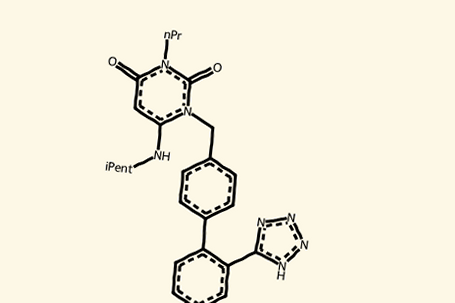 CCCC(C)Nc1cc(=O)n(CCC)c(=O)n1Cc1ccc(-c2ccccc2-c2nnn[nH]2)cc1